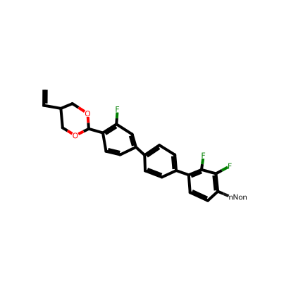 C=CC1COC(c2ccc(-c3ccc(-c4ccc(CCCCCCCCC)c(F)c4F)cc3)cc2F)OC1